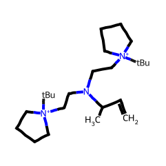 C=CC(C)N(CC[N+]1(C(C)(C)C)CCCC1)CC[N+]1(C(C)(C)C)CCCC1